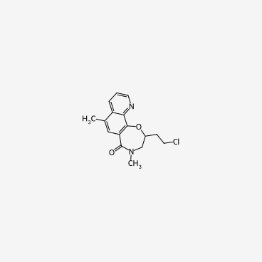 Cc1cc2c(c3ncccc13)OC(CCCl)CN(C)C2=O